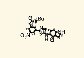 CC(C)(C)OC(=O)Cc1cc(-c2nnc(Nc3ccc4[nH]ncc4c3Cl)s2)cc([N+](=O)[O-])c1